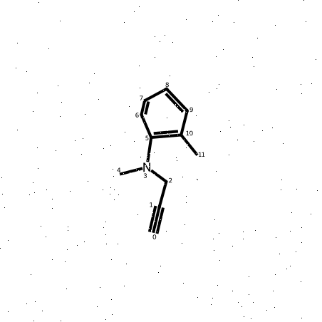 C#CCN(C)c1[c]cccc1C